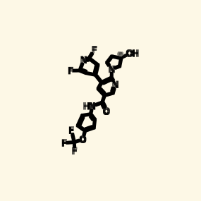 O=C(Nc1ccc(OC(F)(F)F)cc1)c1cnc(N2CC[C@@H](O)C2)c(-c2cc(F)nc(F)c2)c1